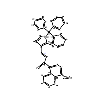 COc1ccc(C(=O)/C=C/c2ncn(C(c3ccccc3)(c3ccccc3)c3ccccc3)c2C)c2ccccc12